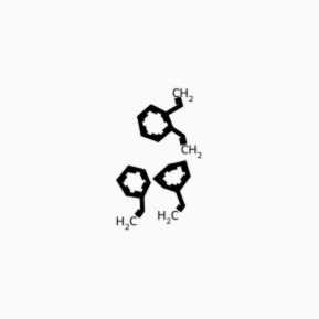 C=Cc1ccccc1.C=Cc1ccccc1.C=Cc1ccccc1C=C